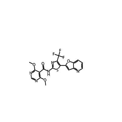 COc1ncnc(OC)c1C(=O)Nc1nc(C(F)(F)F)c(-c2cc3ncccc3o2)s1